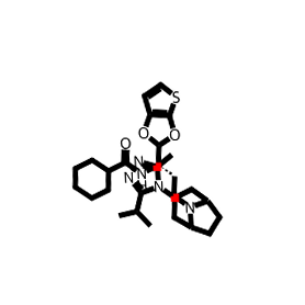 Cc1nnc(C(C)C)n1C1CC2CCC(C1)N2CC[C@H](NC(=O)C1CCCCC1)C1Oc2ccsc2O1